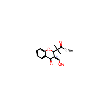 COC(=O)C(C)(C)C1Oc2ccccc2C(=O)/C1=C\O